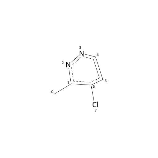 Cc1nnccc1Cl